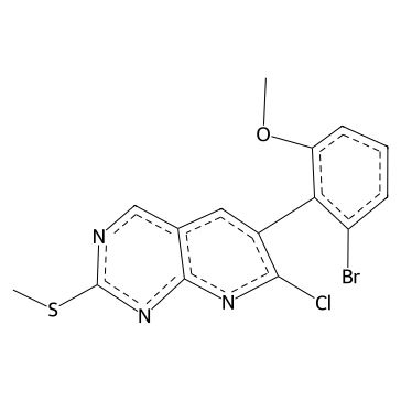 COc1cccc(Br)c1-c1cc2cnc(SC)nc2nc1Cl